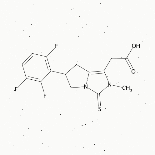 Cn1c(CC(=O)O)c2n(c1=S)CC(c1c(F)ccc(F)c1F)C2